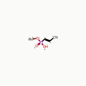 CCC(C)OP(=O)(O)C=CC#N